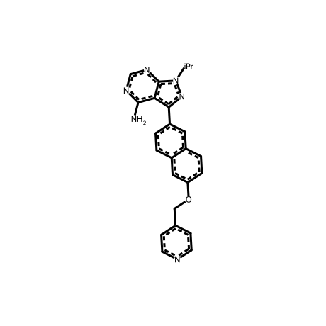 CC(C)n1nc(-c2ccc3cc(OCc4ccncc4)ccc3c2)c2c(N)ncnc21